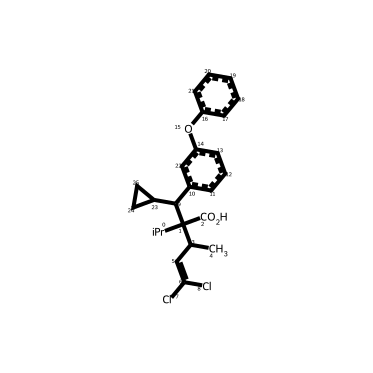 CC(C)C(C(=O)O)(C(C)C=C(Cl)Cl)C(c1cccc(Oc2ccccc2)c1)C1CC1